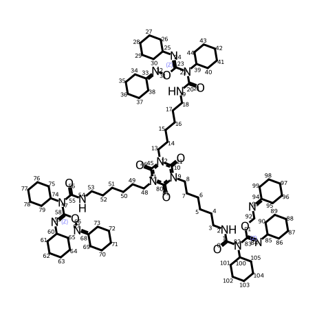 O=C(NCCCCCCn1c(=O)n(CCCCCCNC(=O)N(/C(=N/C2CCCCC2)ON=C2CCCCC2)C2CCCCC2)c(=O)n(CCCCCCNC(=O)N(/C(=N/C2CCCCC2)ON=C2CCCCC2)C2CCCCC2)c1=O)N(/C(=N/C1CCCCC1)OCN=C1CCCCC1)C1CCCCC1